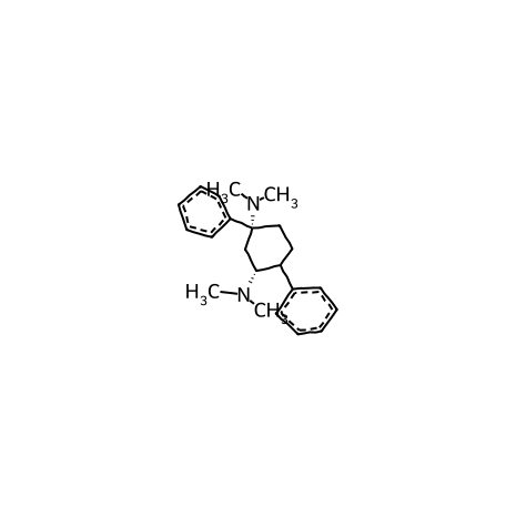 CN(C)[C@@H]1C[C@](c2ccccc2)(N(C)C)CCC1c1ccccc1